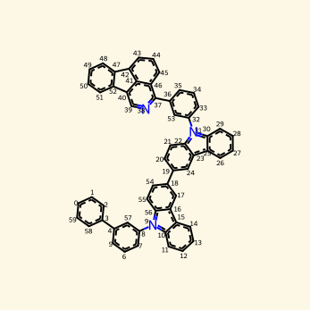 c1ccc(-c2cccc(-n3c4ccccc4c4cc(-c5ccc6c(c5)c5ccccc5n6-c5cccc(-c6ncc7c8c(cccc68)-c6ccccc6-7)c5)ccc43)c2)cc1